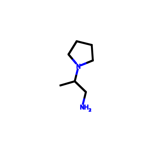 CC(CN)N1CCCC1